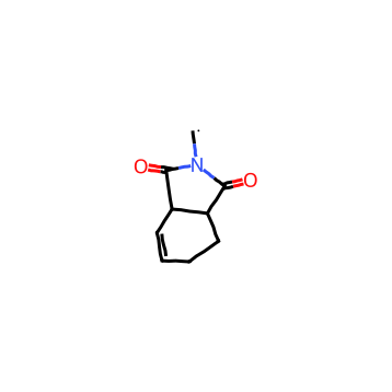 [CH2]N1C(=O)C2C=CCCC2C1=O